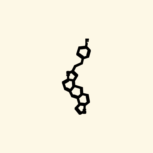 Fc1ccc(CCc2cc3c(ccc4cc5c(ccc6sccc65)cc43)s2)cc1